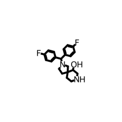 OC1CNCCC12CCN(C(c1ccc(F)cc1)c1ccc(F)cc1)C2